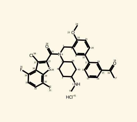 CNC1CCC(N(Cc2cc(-c3cccc(C(C)=O)c3)ccc2OC)C(=O)c2sc3c(F)ccc(F)c3c2Cl)CC1.Cl